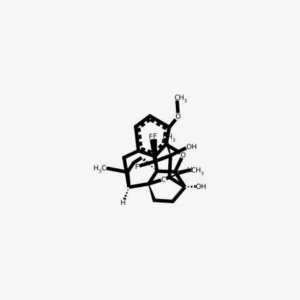 COc1ccc2c3c1O[C@@]1(C)[C@]34CCC(C)[C@H](C2)[C@]42CC[C@@]1(O)[C@@H]([C@@](C)(O)C(F)(F)F)C2